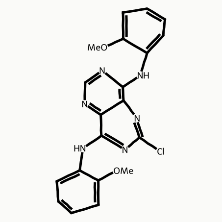 COc1ccccc1Nc1nc(Cl)nc2c(Nc3ccccc3OC)ncnc12